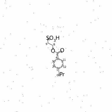 CC(C)c1ccc(C(=O)OCCS(=O)(=O)O)cc1